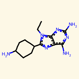 CCn1c(C2CCC(N)CC2)nc2c(N)nc(N)nc21